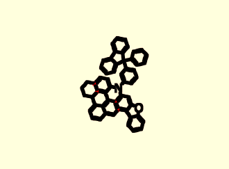 c1ccc(C2(c3cccc(N(c4ccc5c(c4)oc4ccccc45)c4ccccc4-c4cccc5cccc(C6CCCCC6)c45)c3)c3ccccc3-c3ccccc32)cc1